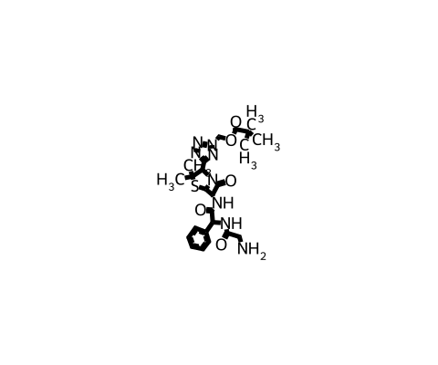 CC(C)(C)C(=O)OCn1nnc(C2N3C(=O)C(NC(=O)C(NC(=O)CN)c4ccccc4)C3SC2(C)C)n1